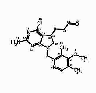 COc1c(C)cnc(CN2C[C@H](CCC=O)c3c(Cl)nc(N)nc32)c1C